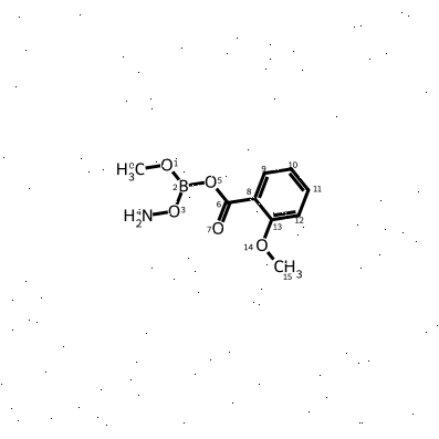 COB(ON)OC(=O)c1ccccc1OC